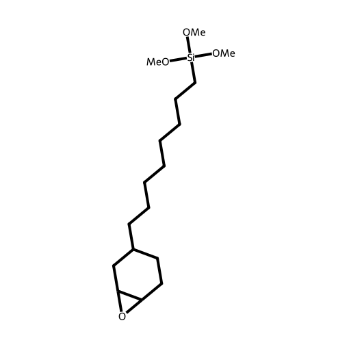 CO[Si](CCCCCCCCC1CCC2OC2C1)(OC)OC